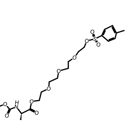 Cc1ccc(S(=O)(=O)OCCOCCOCCOCCOC(=O)[C@@H](C)NC(=O)OC(C)(C)C)cc1